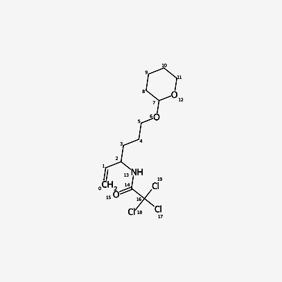 C=CC(CCCOC1CCCCO1)NC(=O)C(Cl)(Cl)Cl